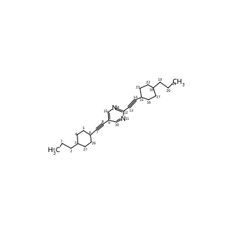 CCCC1CCC(C#Cc2cnc(C#CC3CCC(CCC)CC3)nc2)CC1